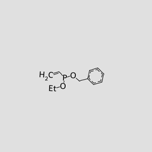 C=CP(OCC)OCc1ccccc1